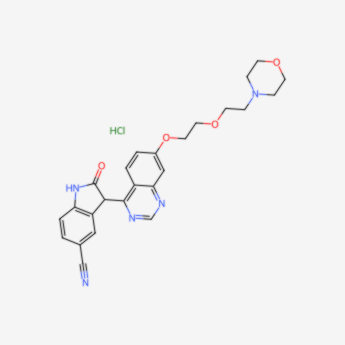 Cl.N#Cc1ccc2c(c1)C(c1ncnc3cc(OCCOCCN4CCOCC4)ccc13)C(=O)N2